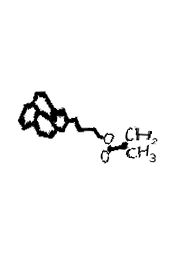 C=C(C)C(=O)OCCCCc1cc2ccc3cccc4ccc(c1)c2c34